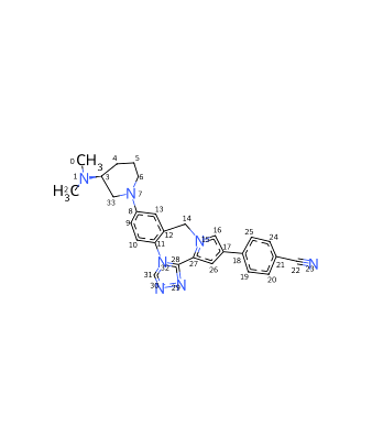 CN(C)[C@H]1CCCN(c2ccc3c(c2)Cn2cc(-c4ccc(C#N)cc4)cc2-c2nncn2-3)C1